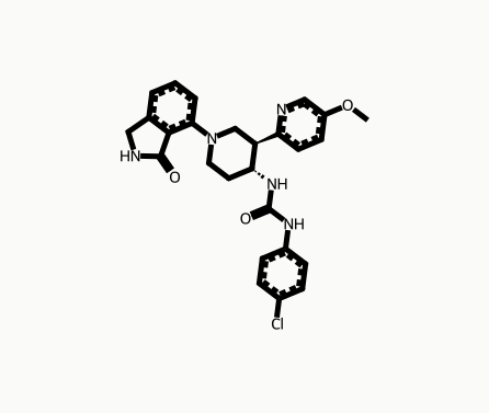 COc1ccc([C@@H]2CN(c3cccc4c3C(=O)NC4)CC[C@H]2NC(=O)Nc2ccc(Cl)cc2)nc1